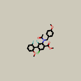 COC(=O)c1cc(Cl)c(-c2c(F)cccc2OC)c(F)c1N(Cc1ccc(OC)cc1)C(C)=O